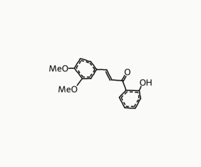 COc1ccc(C=CC(=O)c2ccccc2O)cc1OC